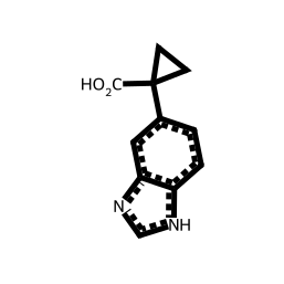 O=C(O)C1(c2ccc3[nH]cnc3c2)CC1